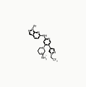 CC(C)n1ncc2ccc(Nc3cc(N4CCC[C@](C)(N)C4)c(-c4cnn(CC(F)(F)F)c4)cn3)nc21